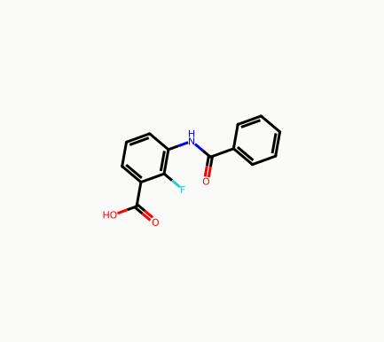 O=C(Nc1cccc(C(=O)O)c1F)c1ccccc1